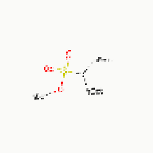 CCCCCCCCC(CCCCC)S(=O)(=O)OCCCC